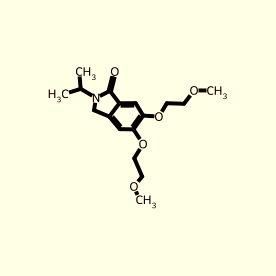 COCCOc1cc2c(cc1OCCOC)C(=O)N(C(C)C)C2